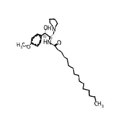 CCCCCCCCCCCCCCCC(=O)N[C@@H](CN1CCCC1)[C@@H](O)c1ccc(OC)cc1